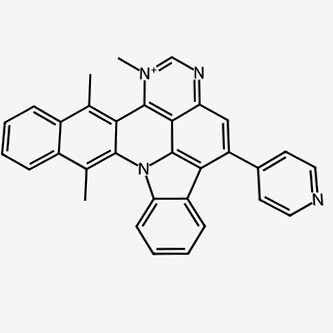 Cc1c2ccccc2c(C)c2c1c1c3c(cc(-c4ccncc4)c4c5ccccc5n2c43)nc[n+]1C